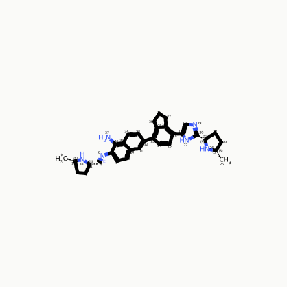 C[C@H]1CC[C@@H](/C=N/c2ccc3cc(-c4ccc(-c5cnc([C@@H]6CC[C@H](C)N6)[nH]5)c5c4CCC5)ccc3c2N)N1